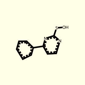 OSc1nccc(-c2ccccc2)n1